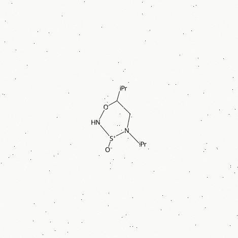 CC(C)C1CN(C(C)C)[S+]([O-])NO1